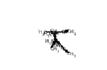 C=Cc1ccc(COCCCCCCc2ccc(N(c3ccc(-c4ccc(N(c5ccc(CCCCCCOCc6ccc(C=C)cc6)cc5)c5cc(C)c(CCCCCC)c(C)c5)cc4)cc3)c3cc(C)c(CCCCCC)c(C)c3)cc2)cc1